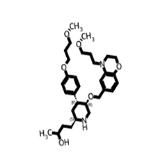 COCCCOc1ccc([C@H]2C[C@H](CCC(C)O)NC[C@@H]2OCc2ccc3c(c2)N(CCCOC)CCO3)cc1